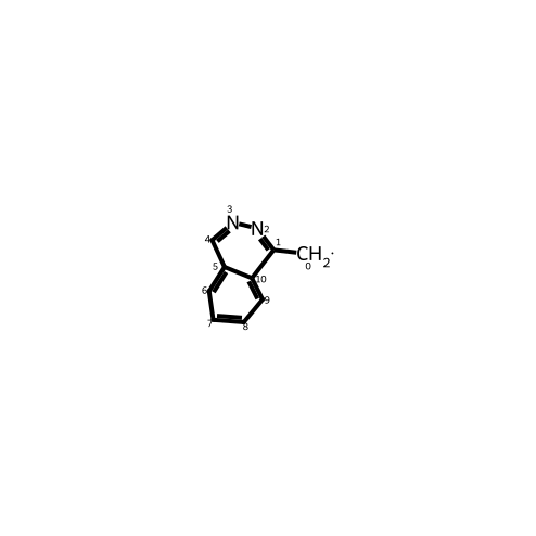 [CH2]c1nncc2ccccc12